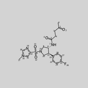 CC(=O)CCC(=O)N[C@H]1CN(S(=O)(=O)c2cn(C)cn2)C[C@@H]1c1ccc(F)cc1